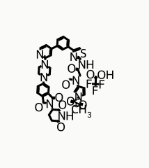 CS(=O)(=O)n1ccc(N(C=O)CC(=O)Nc2nc(-c3cccc(-c4ccnc(N5CCN(c6ccc7c(c6)C(=O)N(C6CCC(=O)NC6=O)C7=O)CC5)c4)c3)cs2)c1.O=C(O)C(F)(F)F